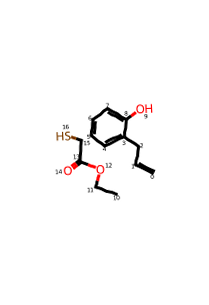 C=CCc1ccccc1O.CCOC(=O)CS